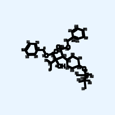 CC(C)C(O)(C(=O)OCc1ccccc1)C(C(=O)OCc1ccccc1)C1CCC(O[Si](C)(C)C(C)(C)C)CC1